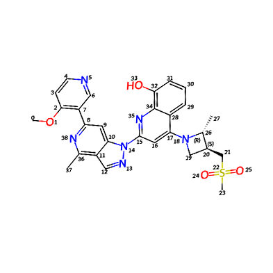 COc1ccncc1-c1cc2c(cnn2-c2cc(N3C[C@H](CS(C)(=O)=O)[C@H]3C)c3cccc(O)c3n2)c(C)n1